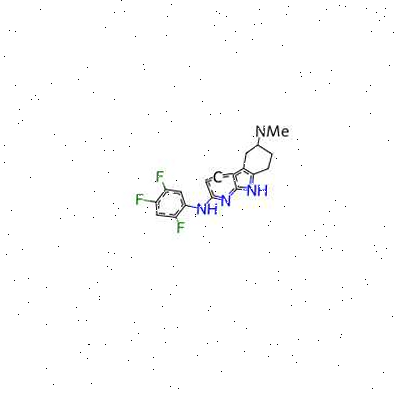 CNC1CCc2[nH]c3nc(Nc4cc(F)c(F)cc4F)ccc3c2C1